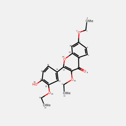 COCOc1ccc2c(=O)c(OCOC)c(-c3ccc(O)c(OCOC)c3)oc2c1